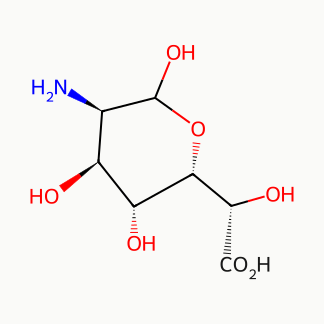 N[C@H]1C(O)O[C@H]([C@H](O)C(=O)O)[C@H](O)[C@H]1O